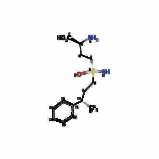 N=[S@@](=O)(CC[C@H](N)C(=O)O)CC[C@@H](c1ccccc1)C(F)(F)F